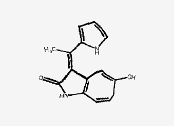 CC(=C1C(=O)Nc2ccc(O)cc21)c1ccc[nH]1